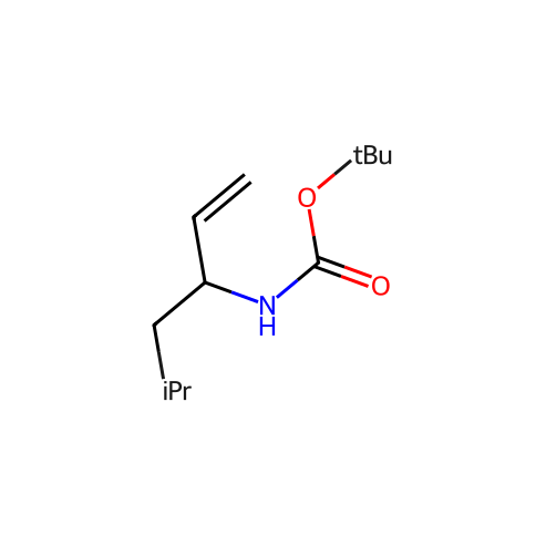 C=CC(CC(C)C)NC(=O)OC(C)(C)C